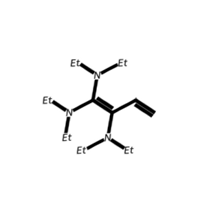 C=[C]C(=C(N(CC)CC)N(CC)CC)N(CC)CC